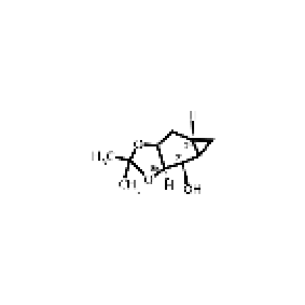 CC1(C)OC2C[C@@H]3CC3[C@@H](O)[C@H]2O1